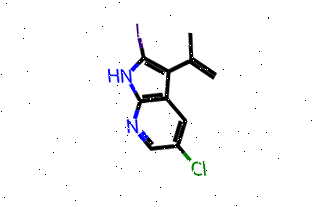 C=C(C)c1c(I)[nH]c2ncc(Cl)cc12